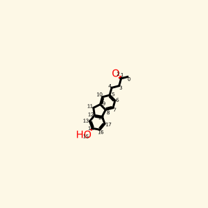 CC(=O)CCc1ccc2c(c1)Cc1cc(O)ccc1-2